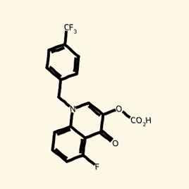 O=C(O)Oc1cn(Cc2ccc(C(F)(F)F)cc2)c2cccc(F)c2c1=O